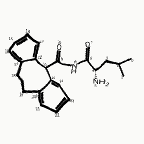 CC(C)C[C@H](N)C(=O)NC(=O)C1c2ccccc2CCc2ccccc21